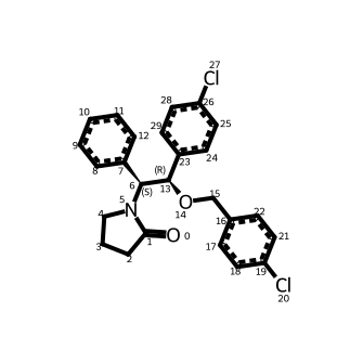 O=C1CCCN1[C@@H](c1ccccc1)[C@H](OCc1ccc(Cl)cc1)c1ccc(Cl)cc1